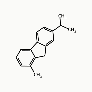 Cc1cccc2c1Cc1cc(C(C)C)ccc1-2